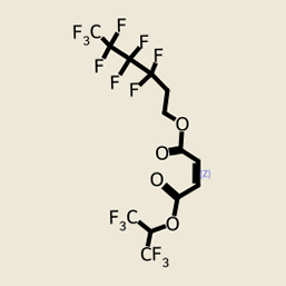 O=C(/C=C\C(=O)OC(C(F)(F)F)C(F)(F)F)OCCC(F)(F)C(F)(F)C(F)(F)C(F)(F)F